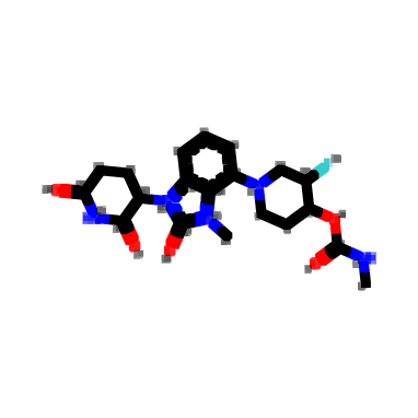 CNC(=O)OC1CCN(c2cccc3c2n(C)c(=O)n3C2CCC(=O)NC2=O)CC1F